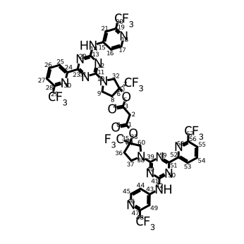 O=C(CC(=O)O[C@@]1(C(F)(F)F)CCN(c2nc(Nc3ccnc(C(F)(F)F)c3)nc(-c3cccc(C(F)(F)F)n3)n2)C1)O[C@@]1(C(F)(F)F)CCN(c2nc(Nc3ccnc(C(F)(F)F)c3)nc(-c3cccc(C(F)(F)F)n3)n2)C1